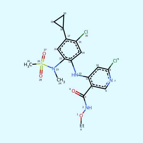 CCONC(=O)c1cnc(Cl)cc1Nc1cc(Cl)c(C2CC2)cc1N(C)S(C)(=O)=O